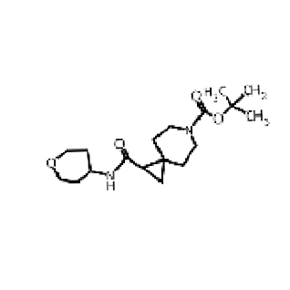 CC(C)(C)OC(=O)N1CCC2(CC1)CC2C(=O)NC1CCOCC1